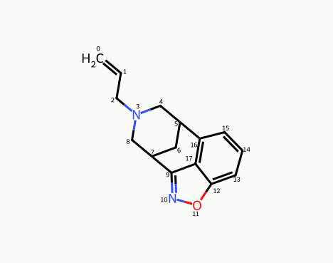 C=CCN1CC2CC(C1)c1noc3cccc2c13